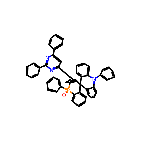 O=P1(c2ccccc2)c2ccccc2C2(c3ccccc3N(c3ccccc3)c3ccccc32)c2ccc(-c3cc(-c4ccccc4)nc(-c4ccccc4)n3)cc21